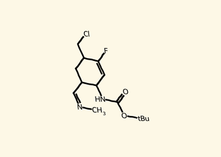 C/N=C\C1CC(CCl)C(F)=CC1NC(=O)OC(C)(C)C